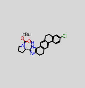 CC(C)(C)OC(=O)N1CCC[C@H]1c1nc2c([nH]1)-c1cc3c(cc1CC2)-c1ccc(Cl)cc1CC3